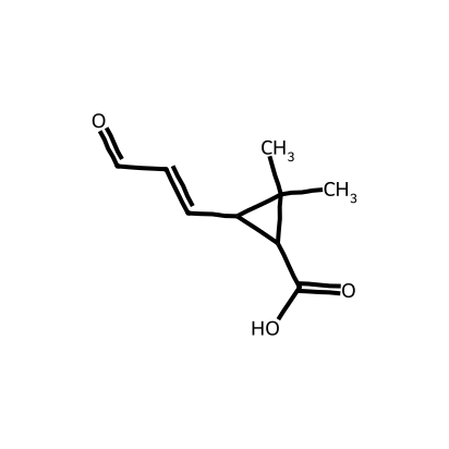 CC1(C)C(C=CC=O)C1C(=O)O